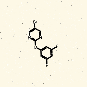 Fc1cc(F)cc(Oc2ncc(Br)cn2)c1